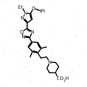 CCn1nc(-c2nc(-c3cc(C)c(CCN4CCC(C(=O)O)CC4)c(C)c3)no2)cc1OC(C)C